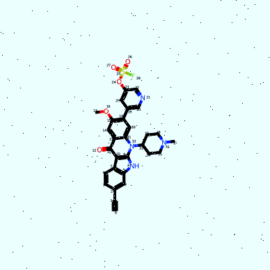 C#Cc1ccc2c(c1)[nH]c1c2c(=O)c2cc(OC)c(-c3cncc(OS(=O)(=O)F)c3)cc2n1C1CCN(C)CC1